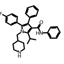 CC(C)c1c(C(=O)Nc2ccccc2)c(-c2ccccc2)c(-c2ccc(F)cc2)n1CC1CCNCC1